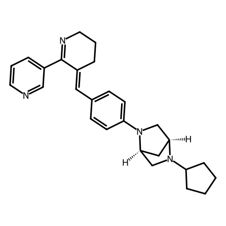 C(=C1/CCCN=C1c1cccnc1)/c1ccc(N2C[C@@H]3C[C@H]2CN3C2CCCC2)cc1